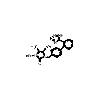 CCCc1c(C)n(CCC)c(=O)n1Cc1ccc(-c2ccccc2-c2nnn[nH]2)cc1